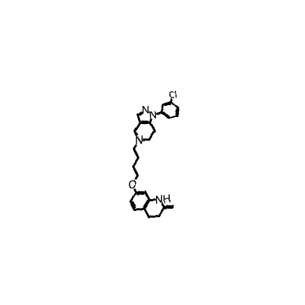 C=C1CCc2ccc(OCCCCN3CCc4c(cnn4-c4cccc(Cl)c4)C3)cc2N1